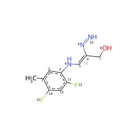 Cc1cc(N/C=C(/CO)N=N)c(F)cc1F